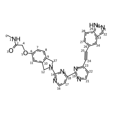 CNC(=O)COc1ccc2c(c1)CN(c1nccc(-c3nccc(C#Cc4ccc5[nH]ncc5c4)n3)n1)C2